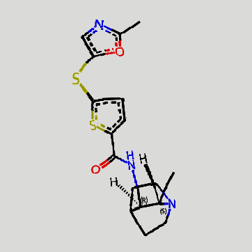 Cc1ncc(Sc2ccc(C(=O)N[C@@H]3C4CCN(CC4)[C@H]3C)s2)o1